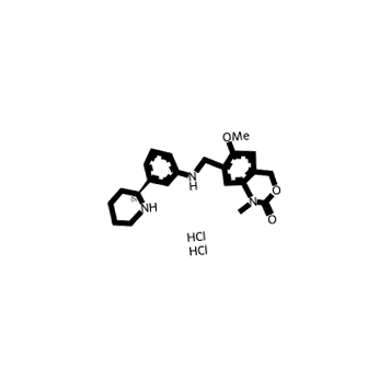 COc1cc2c(cc1CNc1cccc([C@@H]3CCCCN3)c1)N(C)C(=O)OC2.Cl.Cl